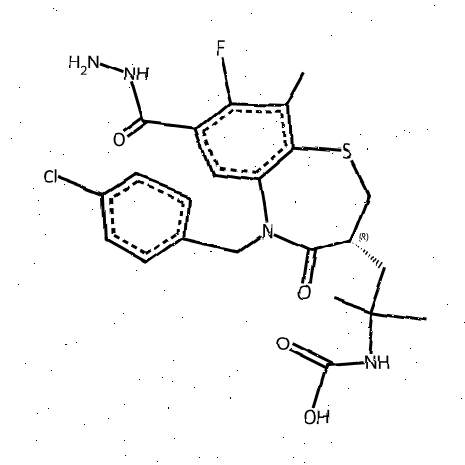 Cc1c(F)c(C(=O)NN)cc2c1SC[C@H](CC(C)(C)NC(=O)O)C(=O)N2Cc1ccc(Cl)cc1